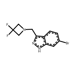 FC1(F)CN(Cc2n[nH]c3cc(Br)ccc23)C1